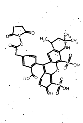 CC1CC(C)(C)Nc2c1cc1c(-c3ccc(CC(=O)ON4C(=O)CCC4=O)cc3C(=O)O)c3ccc(=N)c(S(=O)(=O)O)c-3oc1c2S(=O)(=O)O